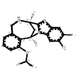 Fc1cc2nc3n(c2cc1Cl)[C@@H]1C[C@H]3NCc2cccc(OC(F)F)c21